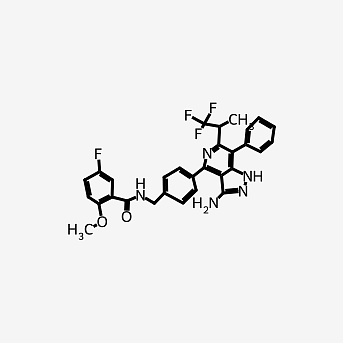 COc1ccc(F)cc1C(=O)NCc1ccc(-c2nc(C(C)C(F)(F)F)c(-c3ccccc3)c3[nH]nc(N)c23)cc1